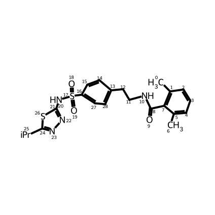 Cc1cccc(C)c1C(=O)NCCc1ccc(S(=O)(=O)Nc2nnc(C(C)C)s2)cc1